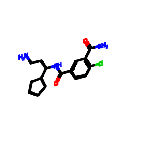 NCCC(NC(=O)c1ccc(Cl)c(C(N)=O)c1)C1CCCC1